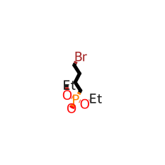 CCOP(=O)(CCCCBr)OCC